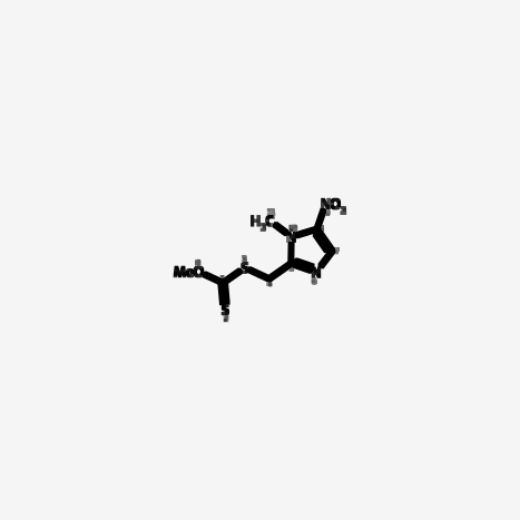 COC(=S)SCc1ncc([N+](=O)[O-])n1C